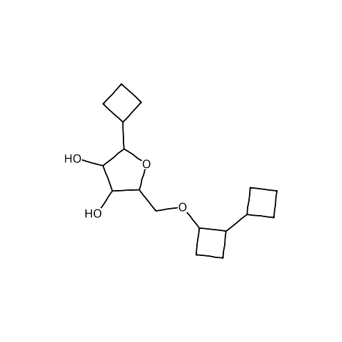 OC1C(COC2CCC2C2CCC2)OC(C2CCC2)C1O